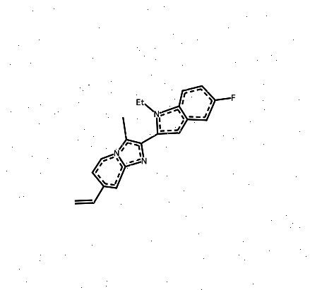 C=Cc1ccn2c(C)c(-c3cc4cc(F)ccc4n3CC)nc2c1